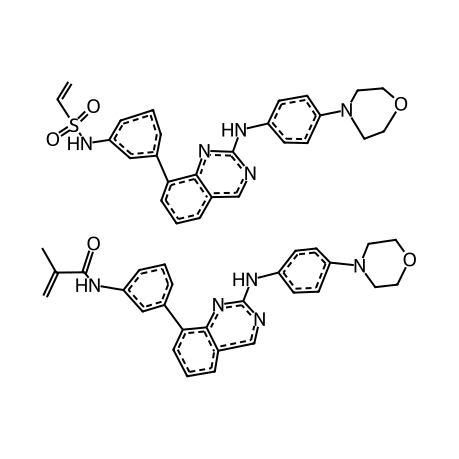 C=C(C)C(=O)Nc1cccc(-c2cccc3cnc(Nc4ccc(N5CCOCC5)cc4)nc23)c1.C=CS(=O)(=O)Nc1cccc(-c2cccc3cnc(Nc4ccc(N5CCOCC5)cc4)nc23)c1